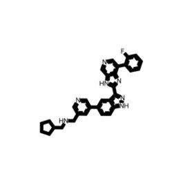 Fc1ccccc1-c1cncc2[nH]c(-c3n[nH]c4ccc(-c5cncc(CNCC6CCCC6)c5)cc34)nc12